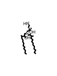 CCCCCCCCCCC(C)C(O)CN(CCN(C)CCNC)CC(O)C(C)CCCCCCCCCC